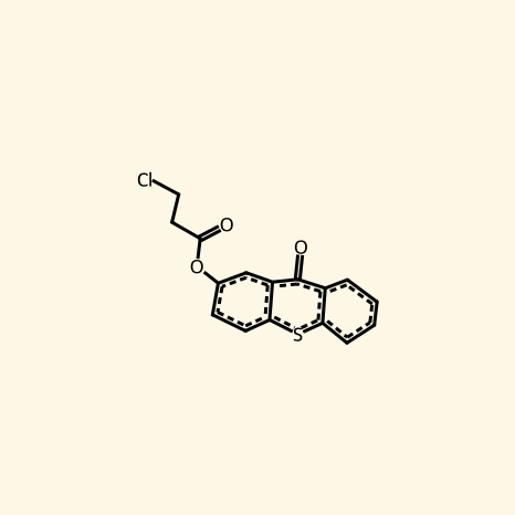 O=C(CCCl)Oc1ccc2sc3ccccc3c(=O)c2c1